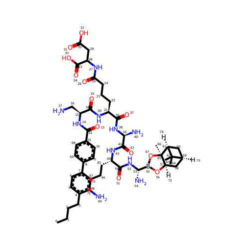 CCCCc1ccc(-c2ccc(C(=O)N[C@@H](CN)C(=O)N[C@@H](CCCC(=O)NC(CC(=O)O)C(=O)O)C(=O)N[C@@H](N)C(=O)N[C@@H](CCCCN)C(=O)N[C@@H](N)B3O[C@@H]4C[C@@H]5C[C@@H](C5(C)C)[C@]4(C)O3)cc2)cc1